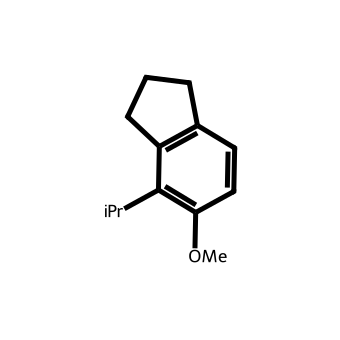 COc1ccc2c(c1C(C)C)CCC2